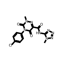 Cn1nnnc1NC(=O)c1nn(C)c(=O)n(-c2ccc(Cl)cc2)c1=O